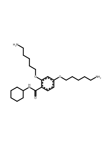 NCCCCCOc1ccc(C(=O)NC2CCCCC2)c(OCCCCCN)c1